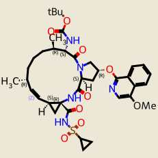 COc1cnc(O[C@@H]2C[C@H]3C(=O)N[C@]4(C(=O)NS(=O)(=O)C5CC5)C[C@H]4/C=C\[C@H](C)CCC[C@@H](C)[C@H](NC(=O)OC(C)(C)C)C(=O)N3C2)c2ccccc12